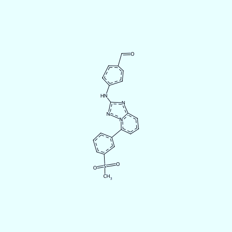 CS(=O)(=O)c1cccc(-c2cccc3nc(Nc4ccc(C=O)cc4)nn23)c1